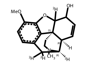 [2H]C12Oc3c(OC)ccc4c3[C@@]13CCN(C)[C@@]([2H])([C@@H]3C=CC2O)C4([2H])[2H]